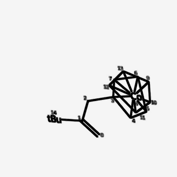 C=C(C[C]12[CH]3[CH]4[CH]5[CH]1[Co]45321678[CH]2[CH]1[CH]6[CH]7[CH]28)C(C)(C)C